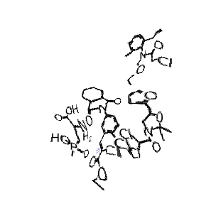 CC1(C)OC(c2ccco2)CN1C(=O)C(Cl)Cl.CCOC(=O)/C(Cl)=C/c1cc(N2C(=O)C3=C(CCCC3)C2=O)ccc1Cl.CCOCN(C(=O)CCl)c1c(C)cccc1CC.CP(=O)(O)CCC(N)C(=O)O